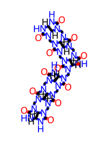 O=C1N[C@@H]2NC(=O)N3CN4C(=O)N5CN6C(=O)N(CN7C(=O)N8CN9C(=O)N%10CN%11C(=O)N[C@H]%12NC(=O)N(CN%13C(=O)N(CN%14C(=O)N[C@@H]7[C@H]%148)[C@@H]9[C@H]%13%10)[C@H]%12%11)[C@@H]7NC(=O)N(CN8C(=O)N(CN1[C@H]23)[C@H]4[C@@H]85)[C@@H]76